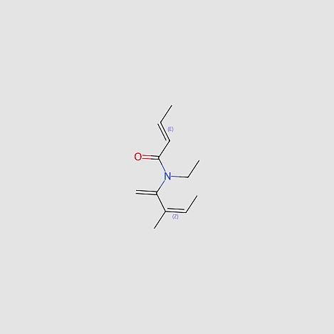 C=C(/C(C)=C\C)N(CC)C(=O)/C=C/C